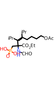 CCOC(=O)C(CP(=O)(O)O)(NC=O)C(=C(CCCCOC(C)=O)C(C)C)C(C)C